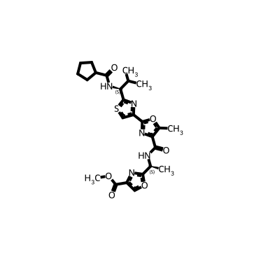 COC(=O)c1coc([C@H](C)NC(=O)c2nc(-c3csc([C@@H](NC(=O)C4CCCC4)C(C)C)n3)oc2C)n1